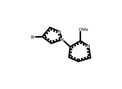 COc1ncccc1-n1cc(Br)cn1